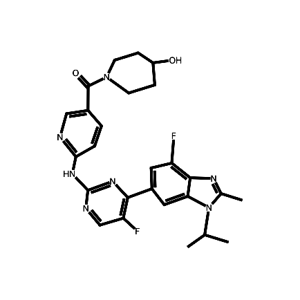 Cc1nc2c(F)cc(-c3nc(Nc4ccc(C(=O)N5CCC(O)CC5)cn4)ncc3F)cc2n1C(C)C